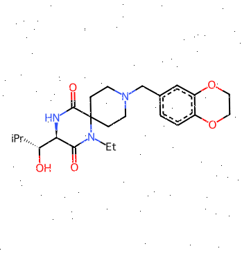 CCN1C(=O)[C@@H]([C@H](O)C(C)C)NC(=O)C12CCN(Cc1ccc3c(c1)OCCO3)CC2